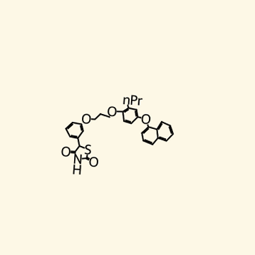 CCCc1cc(Oc2cccc3ccccc23)ccc1OCCCOc1cccc(C2SC(=O)NC2=O)c1